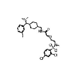 CN(C)C(c1cccc(F)c1)C1CCC(CNC(=O)COCCN(C)S(=O)(=O)c2ccc(Cl)cc2Cl)CC1